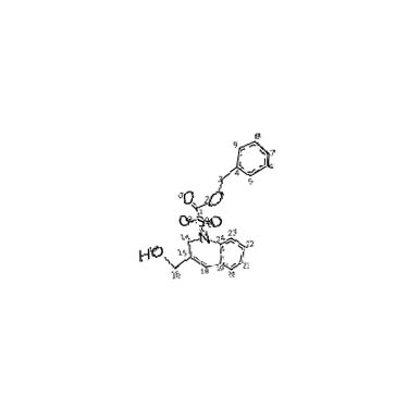 O=C(OCc1ccccc1)S(=O)(=O)N1CC(CO)=Cc2ccccc21